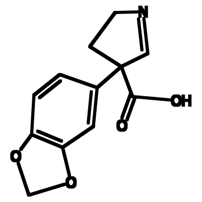 O=C(O)C1(c2ccc3c(c2)OCO3)C=NCC1